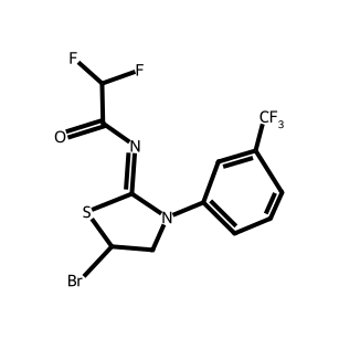 O=C(N=C1SC(Br)CN1c1cccc(C(F)(F)F)c1)C(F)F